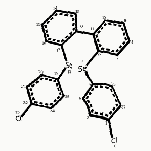 Clc1ccc([Se]c2ccccc2-c2ccccc2[Se]c2ccc(Cl)cc2)cc1